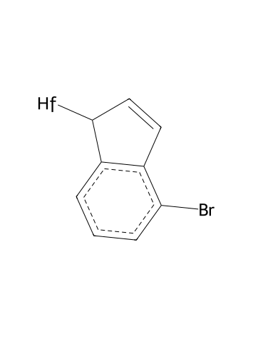 Brc1cccc2c1C=C[CH]2[Hf]